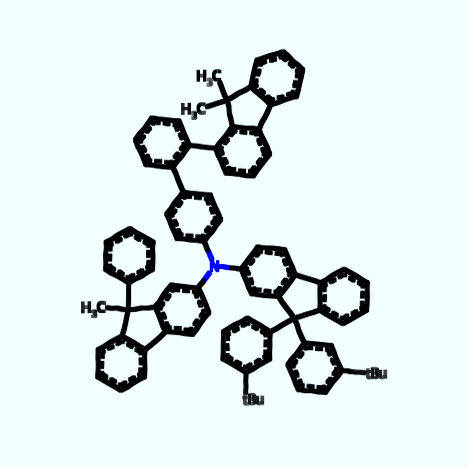 CC(C)(C)c1cccc(C2(c3cccc(C(C)(C)C)c3)c3ccccc3-c3ccc(N(c4ccc(-c5ccccc5-c5cccc6c5C(C)(C)c5ccccc5-6)cc4)c4ccc5c(c4)C(C)(c4ccccc4)c4ccccc4-5)cc32)c1